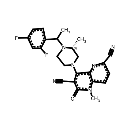 CC(c1ccc(F)cc1F)N1CCN(c2c(C#N)c(=O)n(C)c3ccc(C#N)nc23)C[C@H]1C